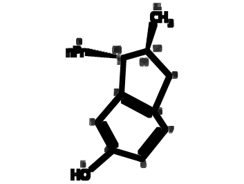 CCC[C@H]1c2cc(O)ccc2C[C@@H]1C